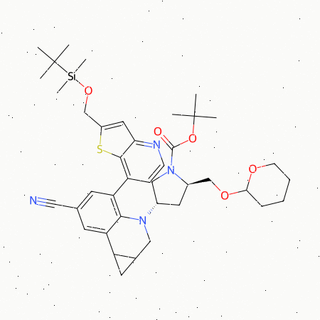 CC(C)(C)OC(=O)N1C[C@@H](N2CC3CC3c3cc(C#N)cc(-c4ccnc5cc(CO[Si](C)(C)C(C)(C)C)sc45)c32)C[C@@H]1COC1CCCCO1